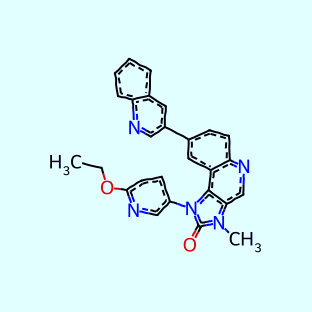 CCOc1ccc(-n2c(=O)n(C)c3cnc4ccc(-c5cnc6ccccc6c5)cc4c32)cn1